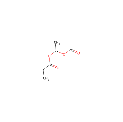 CCC(=O)OC(C)OC=O